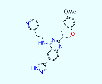 COc1ccc2c(c1)CC(c1nc(NCCc3cccnc3)c3cc(-c4cn[nH]c4)ccc3n1)CO2